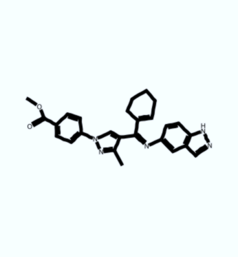 COC(=O)c1ccc(-n2cc(/C(=N/c3ccc4[nH]ncc4c3)C3=CCCCC3)c(C)n2)cc1